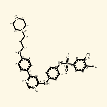 O=S(=O)(Nc1ccc(Nc2cc(-c3ccc(OCCCN4CCOCC4)cc3)ncn2)cc1)c1ccc(F)c(Cl)c1